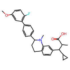 COc1ccc(F)c(-c2ccc(C3CCc4ccc(C(C5CC5)C(C)C(=O)O)cc4N3C)cc2)c1